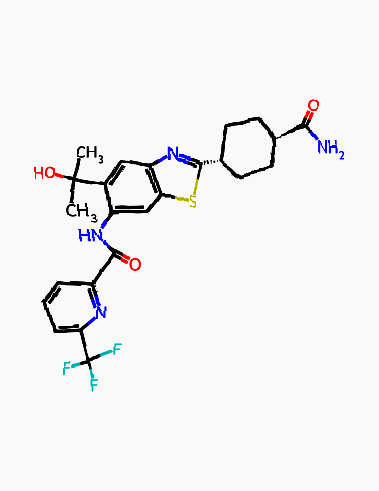 CC(C)(O)c1cc2nc([C@H]3CC[C@H](C(N)=O)CC3)sc2cc1NC(=O)c1cccc(C(F)(F)F)n1